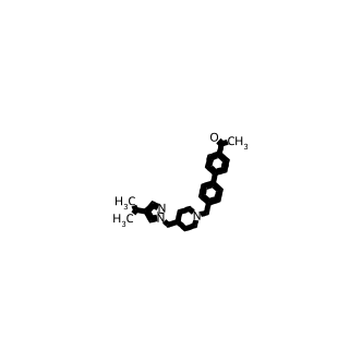 CC(=O)c1ccc(-c2ccc(CN3CCC(Cn4cc(C(C)C)cn4)CC3)cc2)cc1